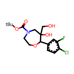 CC(C)(C)OC(=O)N1CCOC(c2ccc(Cl)c(F)c2)C(O)(CO)C1